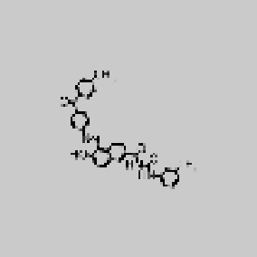 Cc1ccc(C(=O)c2ccc(N=Nc3c(O)ccc4cc(C(=O)NC(=O)Nc5cccc(C(F)(F)F)c5)ccc34)cc2)cc1